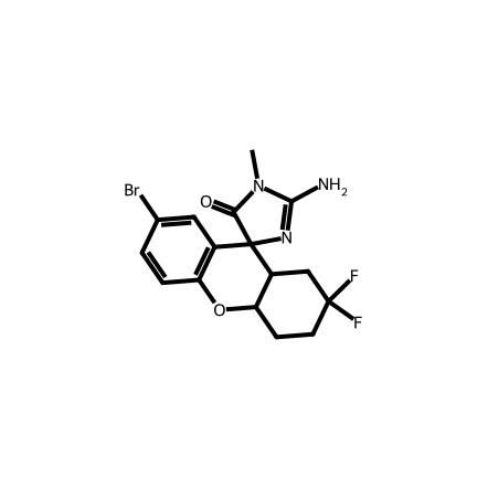 CN1C(=O)C2(N=C1N)c1cc(Br)ccc1OC1CCC(F)(F)CC12